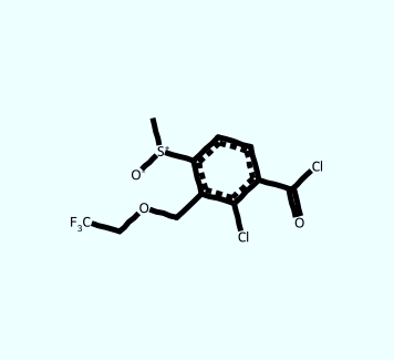 C[S+]([O-])c1ccc(C(=O)Cl)c(Cl)c1COCC(F)(F)F